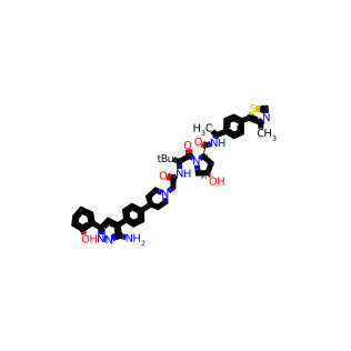 Cc1ncsc1-c1ccc(C(C)NC(=O)[C@@H]2C[C@@H](O)CN2C(=O)C(NC(=O)CN2CCC(c3ccc(-c4cc(-c5ccccc5O)nnc4N)cc3)CC2)C(C)(C)C)cc1